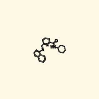 O=C(NC1CCCCC1)c1cccc(CSc2cccc3ccccc23)n1